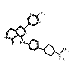 Cc1ncc(-c2cc3cc[nH]c(=O)c3c(Nc3ccc(C4CCC(N(C)C)CC4)cc3)n2)cn1